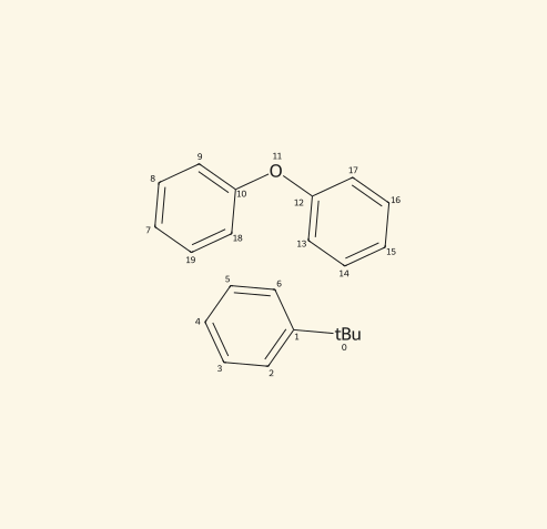 CC(C)(C)c1ccccc1.c1ccc(Oc2ccccc2)cc1